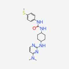 CSc1ccc(NC(=O)NC2CCC(Nc3nccc(N(C)C)n3)CC2)cc1